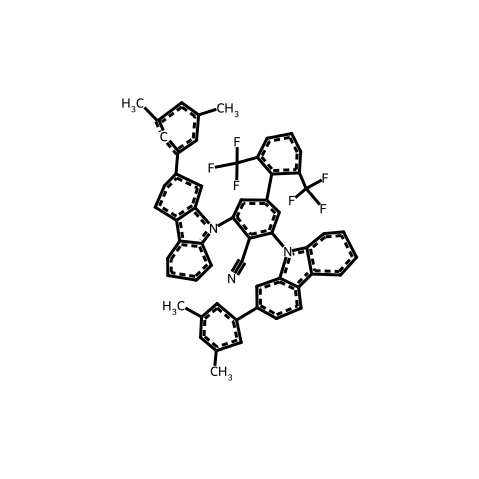 Cc1cc(C)cc(-c2ccc3c4ccccc4n(-c4cc(-c5c(C(F)(F)F)cccc5C(F)(F)F)cc(-n5c6ccccc6c6ccc(-c7cc(C)cc(C)c7)cc65)c4C#N)c3c2)c1